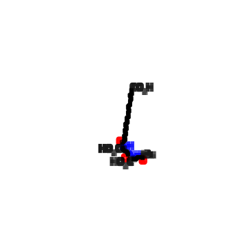 CC(C)(C)C(=O)CC[C@H](NC(=O)CC[C@H](NC(=O)CCCCCCCCCCCCCCCCCCC(=O)O)C(=O)O)C(=O)O